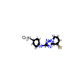 O=[N+]([O-])c1ccc(Nc2nc3c(Br)cccn3n2)cc1